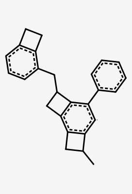 CC1Cc2c1[c]c(-c1ccccc1)c1c2CC1Cc1cccc2c1CC2